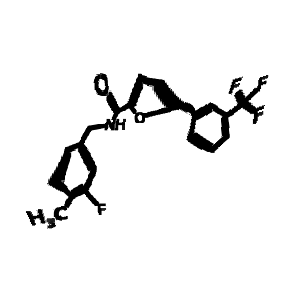 Cc1ccc(CNC(=O)c2ccc(-c3cccc(C(F)(F)F)c3)o2)cc1F